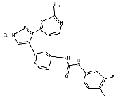 CCn1cc(-c2cccc(NC(=O)Nc3ccc(I)c(F)c3)c2)c(-c2ccnc(N)n2)n1